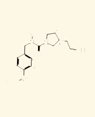 CCC[C@@H]1CCN(C(=O)N(C)Cc2ccc(OC)cc2)C1